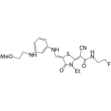 CCn1c(=C(C#N)C(=O)NCCF)sc(=CNc2cccc(NCCOC)c2)c1=O